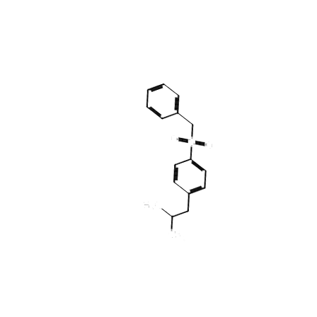 CC(C)Cc1ccc(S(=O)(=O)Cc2ccccc2)cc1